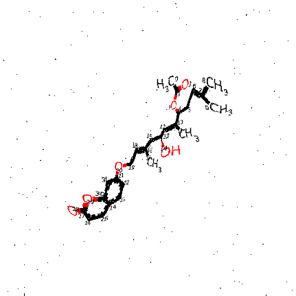 CC(=O)OC(CC=C(C)C)/C(C)=C/[C@@H](O)C/C(C)=C/COc1ccc2ccc(=O)oc2c1